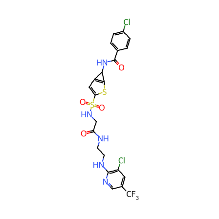 O=C(CNS(=O)(=O)c1cc2c(s1)C2NC(=O)c1ccc(Cl)cc1)NCCNc1ncc(C(F)(F)F)cc1Cl